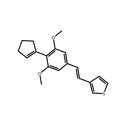 COc1cc(C=Cc2ccsc2)cc(OC)c1C1=CCCC1